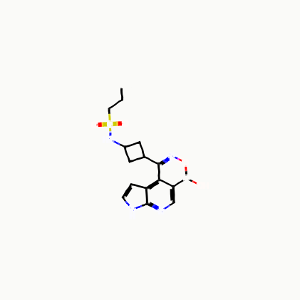 CCCS(=O)(=O)NC1CC(C2=NOB(O)c3cnc4[nH]ccc4c32)C1